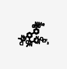 CNS(=O)(=O)c1cccc(-c2ccc(-n3cc(Cl)c(C)n3)c(-c3oc(C)nc3-c3cnc(OC(F)(F)F)nc3)c2)c1